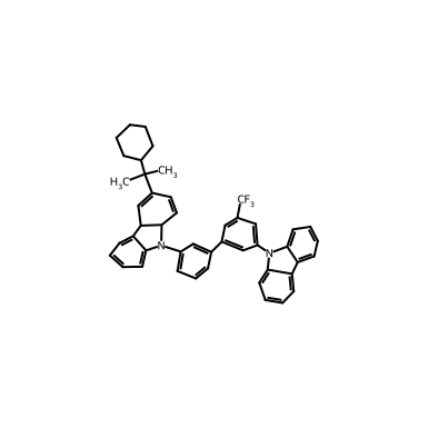 CC(C)(C1=CC2c3ccccc3N(c3cccc(-c4cc(-n5c6ccccc6c6ccccc65)cc(C(F)(F)F)c4)c3)C2C=C1)C1CCCCC1